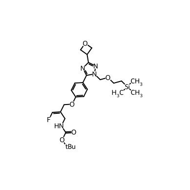 CC(C)(C)OC(=O)NC/C(=C\F)COc1ccc(-c2nc(C3COC3)nn2COCC[Si](C)(C)C)cc1